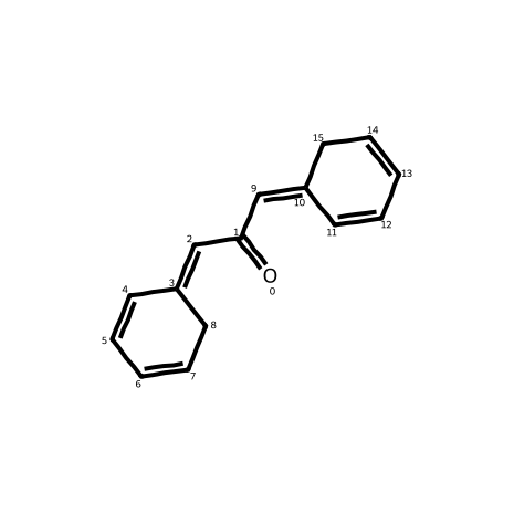 O=C(C=C1C=CC=CC1)C=C1C=CC=CC1